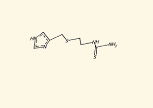 NC(=S)NCCSCc1c[nH]cn1